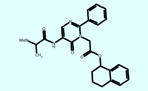 CNC(C)C(=O)Nc1cnc(-c2ccccc2)n(CC(=O)OC2CCCc3ccccc32)c1=O